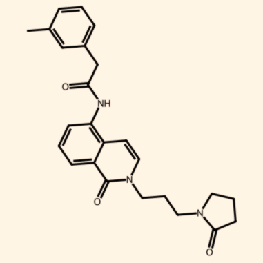 Cc1cccc(CC(=O)Nc2cccc3c(=O)n(CCCN4CCCC4=O)ccc23)c1